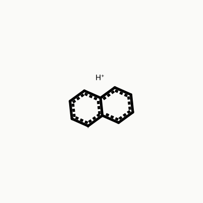 [H+].[c]1cccc2ccccc12